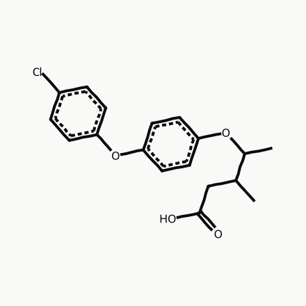 CC(CC(=O)O)C(C)Oc1ccc(Oc2ccc(Cl)cc2)cc1